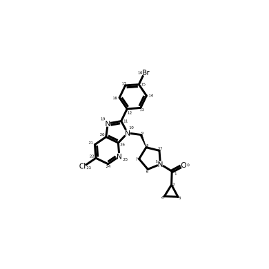 O=C(C1CC1)N1CC[C@@H](Cn2c(-c3ccc(Br)cc3)nc3cc(Cl)cnc32)C1